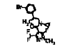 C=C(CN(C(=O)c1c(C(F)F)nn(C)c1F)C1CC1)c1cccc(Br)c1